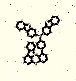 c1cc2c(c(-c3ccc(N(c4ccc5c(c4)oc4ccccc45)c4ccc5c(c4)oc4ccccc45)cc3)c1)-n1c3ccccc3c3cccc(c31)S2